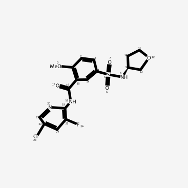 COc1ccc(S(=O)(=O)N[C@H]2CCOC2)cc1C(=O)Nc1ncc(Cl)cc1F